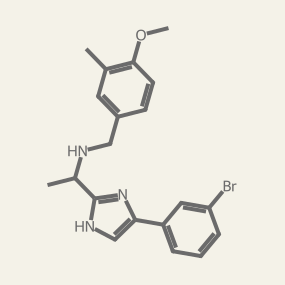 COc1ccc(CNC(C)c2nc(-c3cccc(Br)c3)c[nH]2)cc1C